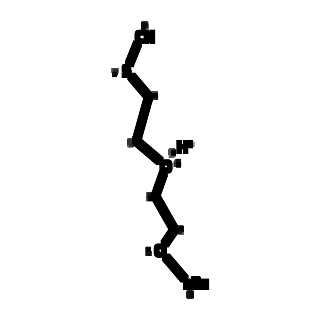 CCCCOCCOCCSC#N.[H+]